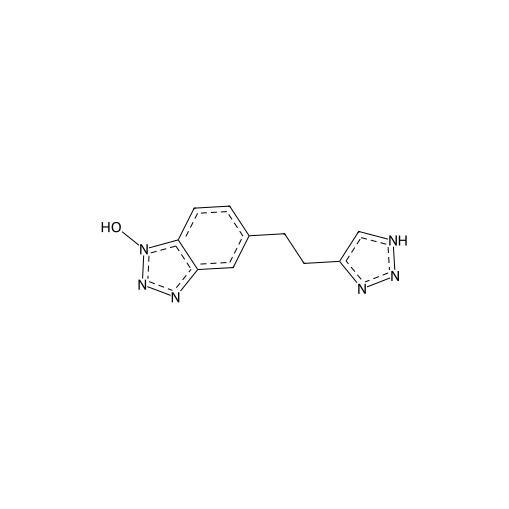 On1nnc2cc(CCc3c[nH]nn3)ccc21